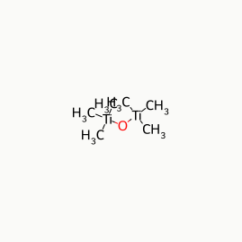 [CH3][Ti]([CH3])([CH3])[O][Ti]([CH3])([CH3])[CH3]